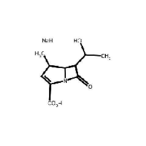 CC(O)C1C(=O)N2C(C(=O)O)=CC(C)C12.[NaH]